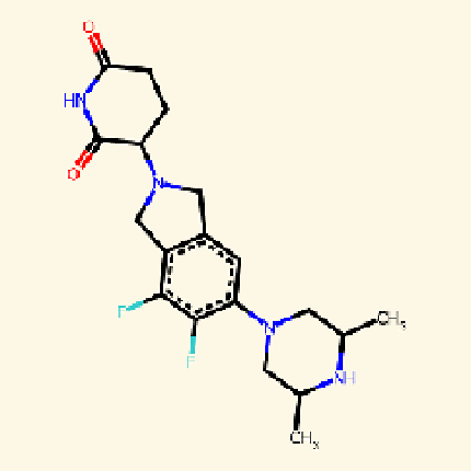 CC1CN(c2cc3c(c(F)c2F)CN(C2CCC(=O)NC2=O)C3)CC(C)N1